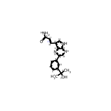 CC(C)(O)c1cccc(-c2cnc3[nH]cc(/C=C/C(N)=O)c3n2)c1